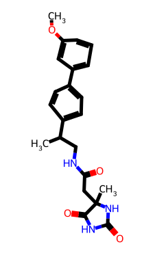 COc1cccc(-c2ccc(C(C)CNC(=O)CC3(C)NC(=O)NC3=O)cc2)c1